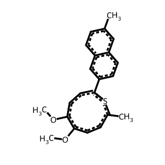 COc1ccc(C)sc(-c2ccc3cc(C)ccc3c2)ccc1OC